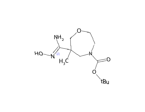 CC(C)(C)OC(=O)N1CCOCC(C)(/C(N)=N/O)C1